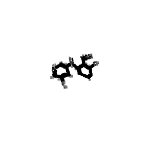 N=Cc1c(Cl)cccc1Nc1cncc(F)c1